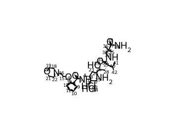 CC(C)[C@@H](CNC(=O)c1ccccc1OCCN1CCOCC1)C[C@H](N)[C@@H](O)C[C@H](C(=O)NCC(C)(C)C(N)=O)C(C)C.Cl.Cl